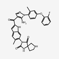 Cc1cc2cc(C(=O)c3cnn(-c4ccc(Oc5ccccc5F)cc4C)c3N)[nH]c2cc1N1C(=O)NC2(CCNC2)C1=O